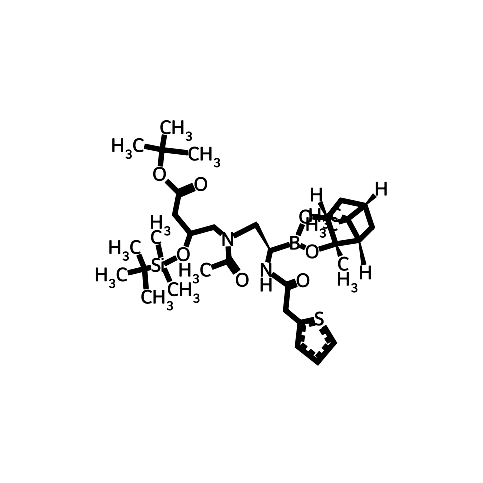 CC(=O)N(CC(CC(=O)OC(C)(C)C)O[Si](C)(C)C(C)(C)C)C[C@H](NC(=O)Cc1cccs1)B1O[C@@H]2C[C@@H]3C[C@@H](C3(C)C)[C@]2(C)O1